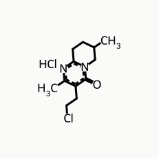 Cc1nc2n(c(=O)c1CCCl)CC(C)CC2.Cl